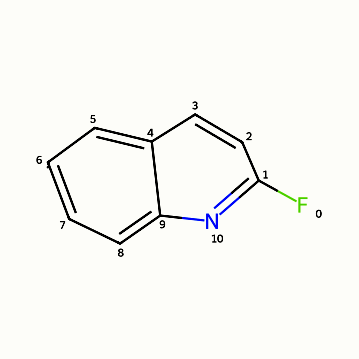 Fc1ccc2c[c]ccc2n1